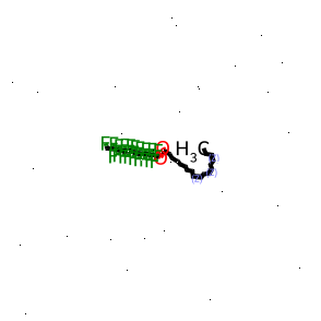 CC/C=C\C/C=C\C/C=C\CCCCCCCC(=O)OC(F)(F)C(F)(F)C(F)(F)C(F)(F)C(F)(F)C(F)(F)C(F)(F)C(F)(F)C(F)(F)CF